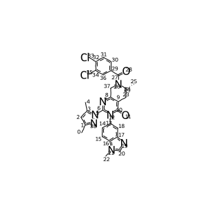 Cc1cc(C)n(-c2nc3c(c(=O)n2-c2ccc4c(c2)ncn4C)C[C@@H](C)N(C(=O)c2ccc(Cl)c(Cl)c2)C3)n1